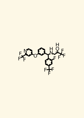 O[C@H](CNC(c1cccc(Oc2ccnc(C(F)(F)F)c2)c1)c1ccc(C(F)(F)F)cc1F)C(F)(F)F